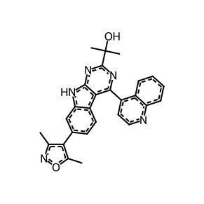 Cc1noc(C)c1-c1ccc2c(c1)[nH]c1nc(C(C)(C)O)nc(-c3ccnc4ccccc34)c12